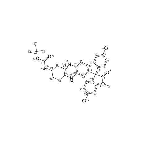 COC(=O)C(c1ccc(Cl)cc1)(c1ccc(Cl)cc1)c1ccc(N)c(NC2CCC(NC(=O)OC(C)(C)C)CC2)c1